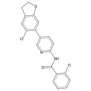 O=C(Nc1ccc(-c2cc3c(cc2Cl)CCO3)cn1)c1ccccc1Cl